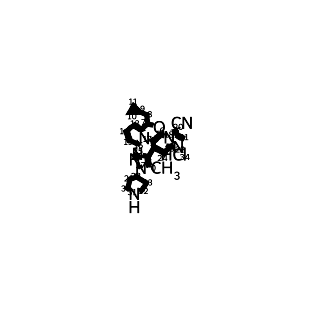 Cc1c(-c2cc(OC(CC3CC3)c3ccccn3)n3c(C#N)cnc3c2)nnn1C1CCNCC1.Cl